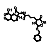 O=CC1=C(C(=O)O)N2C(=O)C(NC(=O)CCCC(NC(=O)OCc3ccccc3)C(=O)O)[C@@H]2SC1